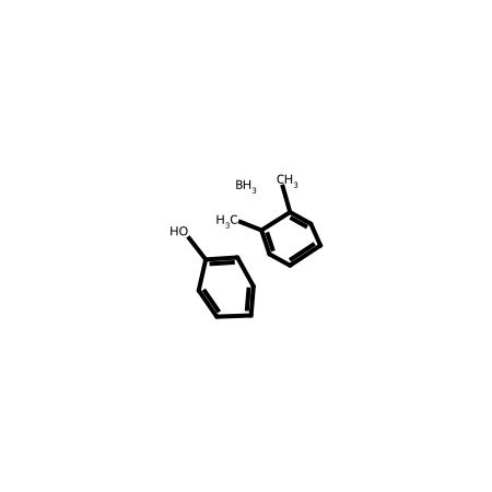 B.Cc1ccccc1C.Oc1ccccc1